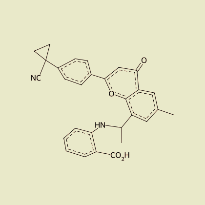 Cc1cc(C(C)Nc2ccccc2C(=O)O)c2oc(-c3ccc(C4(C#N)CC4)cc3)cc(=O)c2c1